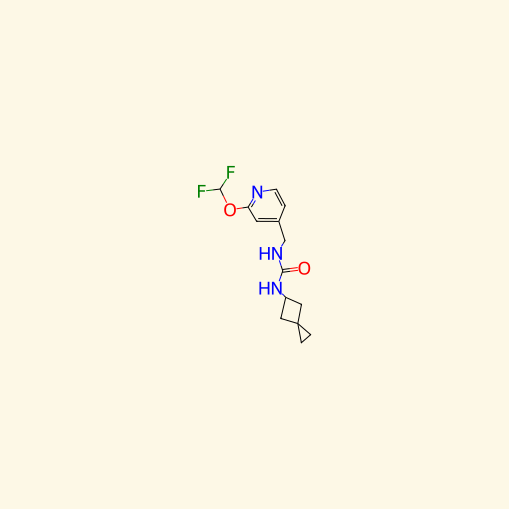 O=C(NCc1ccnc(OC(F)F)c1)NC1CC2(CC2)C1